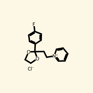 Fc1ccc(C2(CC[n+]3ccccc3)OCCO2)cc1.[Cl-]